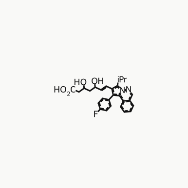 CC(C)c1c(C=CC(O)CC(O)CC(=O)O)c(-c2ccc(F)cc2)c2c3ccccc3cnn12